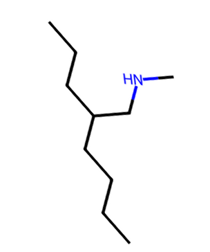 CCCCC(CCC)CNC